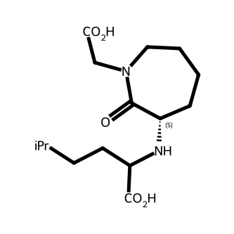 CC(C)CCC(N[C@H]1CCCCN(CC(=O)O)C1=O)C(=O)O